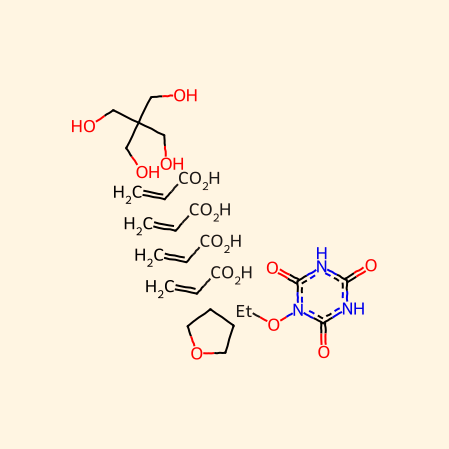 C1CCOC1.C=CC(=O)O.C=CC(=O)O.C=CC(=O)O.C=CC(=O)O.CCOn1c(=O)[nH]c(=O)[nH]c1=O.OCC(CO)(CO)CO